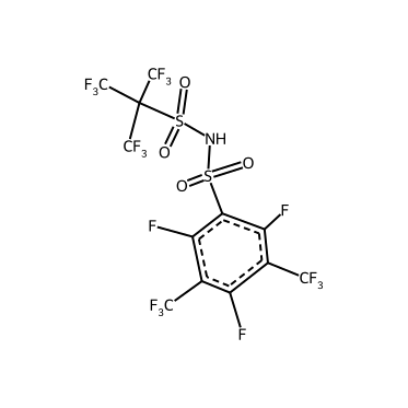 O=S(=O)(NS(=O)(=O)C(C(F)(F)F)(C(F)(F)F)C(F)(F)F)c1c(F)c(C(F)(F)F)c(F)c(C(F)(F)F)c1F